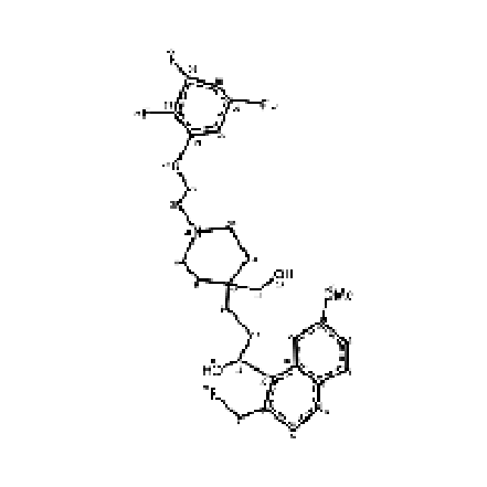 COc1ccc2ncc(CF)c(C(O)CCC3(CO)CCN(CCOc4cc(F)cc(F)c4F)CC3)c2c1